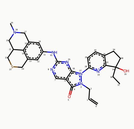 C=CCn1c(=O)c2cnc(Nc3cc4c5c(c3)CN(C)CC5CSC4)nc2n1-c1ccc2c(n1)C(O)(CC)CC2